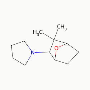 CC1(C)C2CCC(O2)C1N1CCCC1